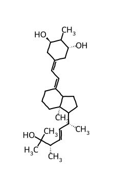 CC1[C@H](O)CC(=C/C=C2\CCC[C@@]3(C)C2CCC3[C@H](C)/C=C/[C@H](C)C(C)(C)O)C[C@H]1O